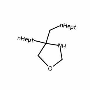 CCCCCCCCC1(CCCCCCC)COCN1